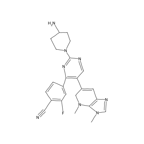 CN1CC(c2cnc(N3CCC(N)CC3)nc2-c2ccc(C#N)c(F)c2)=Cc2ncn(C)c21